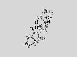 C=C[C@@]1(O)CO[C@@H]2[C@@H](N3C(=O)c4ccccc4C3=O)CO[C@@H]21